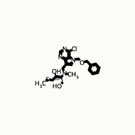 CSC[C@@H](O)[C@@H](CO)N(C)Cc1cn(COCc2ccccc2)c2c(Cl)ncnc12